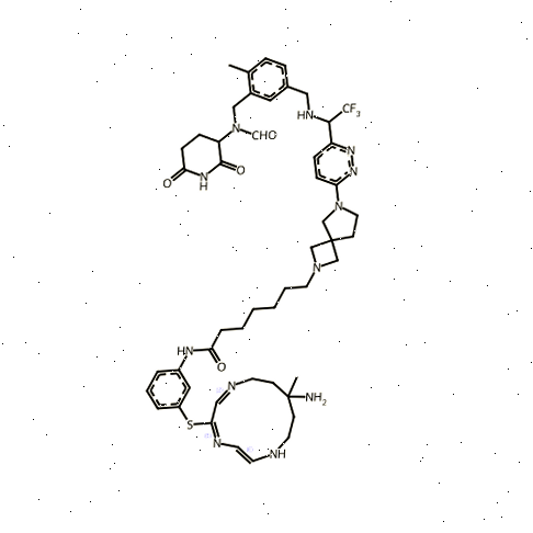 Cc1ccc(CNC(c2ccc(N3CCC4(CN(CCCCCCC(=O)Nc5cccc(SC6=N/C=C/NCCC(C)(N)CC/N=C\6)c5)C4)C3)nn2)C(F)(F)F)cc1CN(C=O)C1CCC(=O)NC1=O